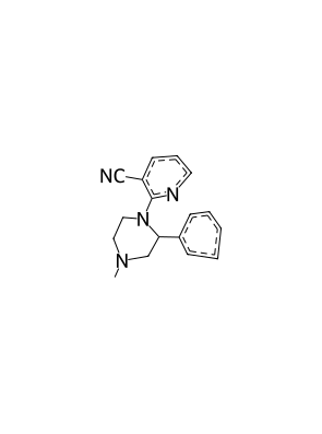 CN1CCN(c2ncccc2C#N)C(c2ccccc2)C1